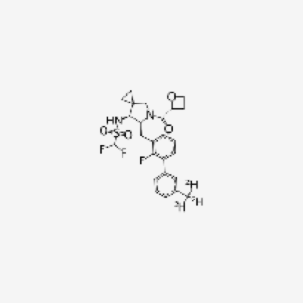 [2H]C([2H])([2H])c1cccc(-c2cccc(C[C@H]3[C@@H](NS(=O)(=O)C(F)F)C4(CC4)CN3C(=O)[C@H]3CCO3)c2F)c1